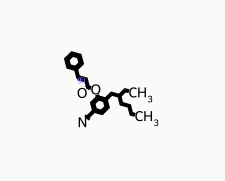 CCCCC(CC)Cc1ccc(C#N)cc1OC(=O)/C=C/c1ccccc1